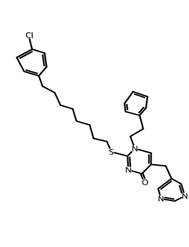 O=c1nc(SCCCCCCCCc2ccc(Cl)cc2)n(CCc2ccccc2)cc1Cc1cncnc1